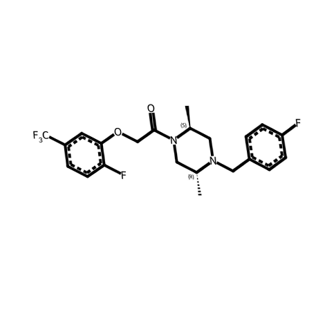 C[C@@H]1CN(C(=O)COc2cc(C(F)(F)F)ccc2F)[C@@H](C)CN1Cc1ccc(F)cc1